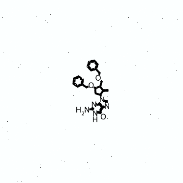 C=C1C(COCc2ccccc2)C(OCc2ccccc2)CC1n1cnc2c(=O)[nH]c(N)nc21